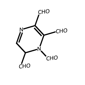 O=CC1=C(C=O)N(C=O)C(C=O)C=N1